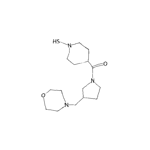 O=C(C1CCN(S)CC1)N1CCC(CN2CCOCC2)C1